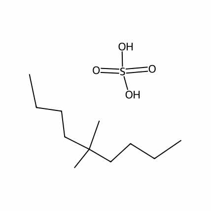 CCCCC(C)(C)CCCC.O=S(=O)(O)O